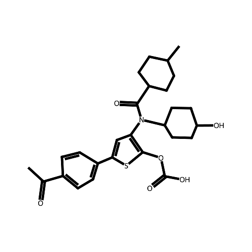 CC(=O)c1ccc(-c2cc(N(C(=O)C3CCC(C)CC3)C3CCC(O)CC3)c(OC(=O)O)s2)cc1